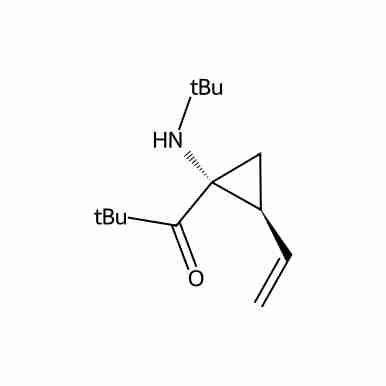 C=C[C@@H]1C[C@]1(NC(C)(C)C)C(=O)C(C)(C)C